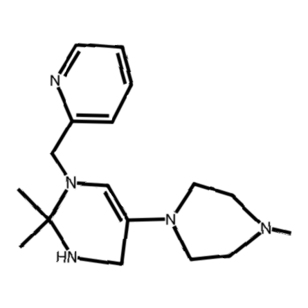 CN1CCN(C2=CN(Cc3ccccn3)C(C)(C)NC2)CC1